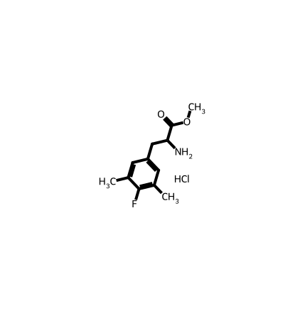 COC(=O)C(N)Cc1cc(C)c(F)c(C)c1.Cl